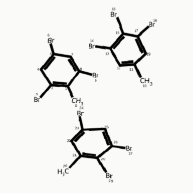 Cc1c(Br)cc(Br)cc1Br.Cc1cc(Br)c(Br)c(Br)c1.Cc1cc(Br)cc(Br)c1Br